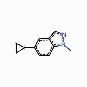 Cn1ncc2cc(C3CC3)ccc21